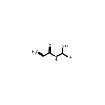 C=CC(=O)NC(CCC)CCCC